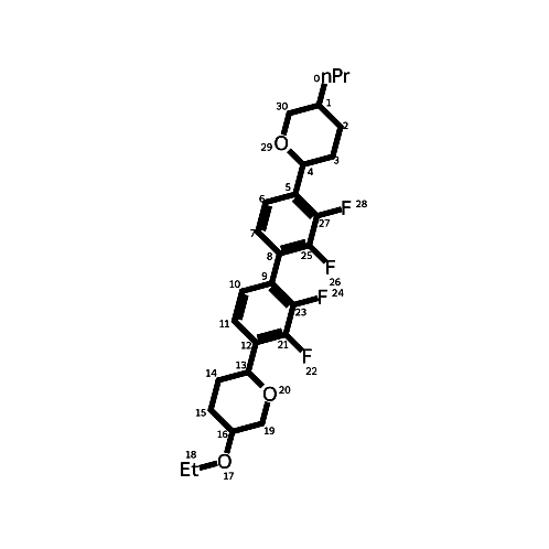 CCCC1CCC(c2ccc(-c3ccc(C4CCC(OCC)CO4)c(F)c3F)c(F)c2F)OC1